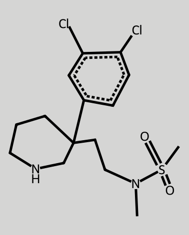 CN(CCC1(c2ccc(Cl)c(Cl)c2)CCCNC1)S(C)(=O)=O